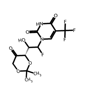 CC1(C)OCC(=O)[C@H](C(O)C(F)n2cc(C(F)(F)F)c(=O)[nH]c2=O)O1